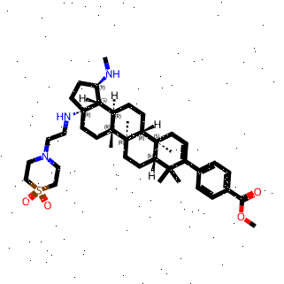 CN[C@@H]1CC[C@]2(NCCN3CCS(=O)(=O)CC3)CC[C@]3(C)[C@H](CC[C@@H]4[C@@]5(C)CC=C(c6ccc(C(=O)OC)cc6)C(C)(C)[C@@H]5CC[C@]43C)[C@@H]12